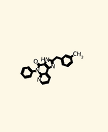 Cc1cccc(Cc2nc3c([nH]2)c(=O)n(-c2ccccc2)c2ncccc32)c1